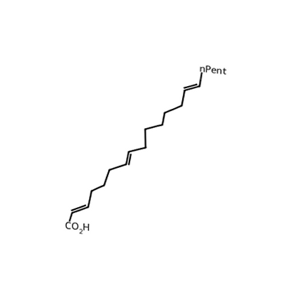 CCCCCC=CCCCCCC=CCCCC=CC(=O)O